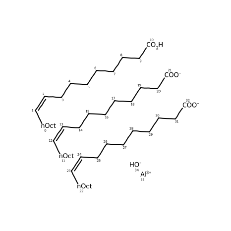 CCCCCCCC/C=C\CCCCCCCC(=O)O.CCCCCCCC/C=C\CCCCCCCC(=O)[O-].CCCCCCCC/C=C\CCCCCCCC(=O)[O-].[Al+3].[OH-]